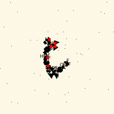 CC(C)n1nccc1C(=O)N[C@H](C(=O)Nc1ccc([C@H](C)C(=O)NC(Cc2ccc(-c3cc(C(=O)N[C@H](C(=O)Nc4ccc([C@H](C)C(=O)N5C[C@@H](F)[C@@H](F)C5)cc4F)C(C4CC4)C4CC4)n(C(C)C)n3)cn2)C(F)(F)F)cc1F)C(C1CC1)C1CC1